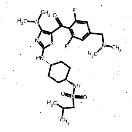 CC(C)CS(=O)(=O)N[C@H]1CC[C@H](Nc2nc(N(C)C)c(C(=O)c3c(F)cc(CN(C)C)cc3F)s2)CC1